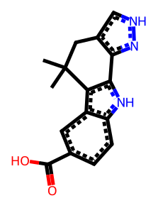 CC1(C)Cc2c[nH]nc2-c2[nH]c3ccc(C(=O)O)cc3c21